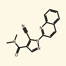 CN(C)C(=O)c1cnn(-c2ccc3ccccc3n2)c1C#N